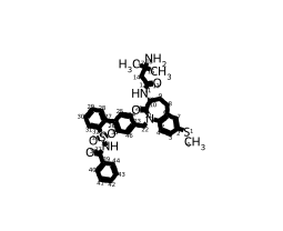 CSc1ccc2c(c1)CC[C@@H](NC(=O)CC(C)(C)N)C(=O)N2Cc1ccc(-c2ccccc2S(=O)(=O)NC(=O)c2ccccc2)cc1